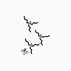 CCCC[N+](C)(CCCC)CCCC.CCCC[N+](C)(CCCC)CCCC.CCCC[N+](C)(CCCC)CCCC.O=P([O-])([O-])[O-]